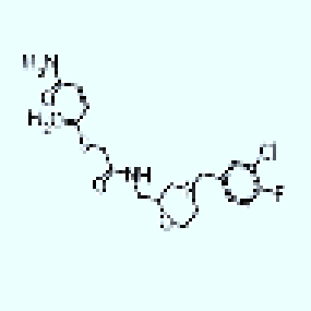 C=C(/C=C\C(N)=O)SCC(=O)NC[C@H]1CN(Cc2ccc(F)c(Cl)c2)CCO1